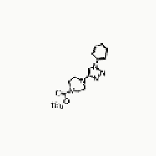 CC(C)(C)OC(=O)N1CCN(c2cn(-c3ccccc3)nn2)CC1